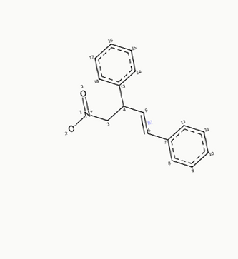 O=[N+]([O-])CC(/C=C/c1ccccc1)c1ccccc1